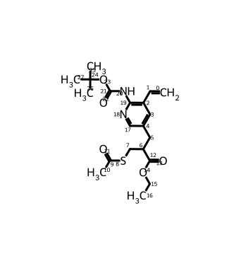 C=Cc1cc(CC(CSC(C)=O)C(=O)OCC)cnc1NC(=O)OC(C)(C)C